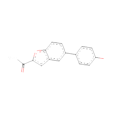 COC(=O)c1cc2cc(-c3ccc(O)cc3)ccc2o1